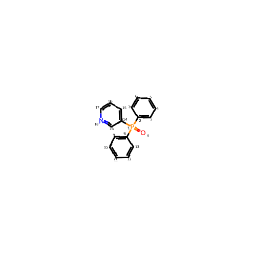 O=P(c1ccccc1)(c1ccccc1)c1cccnc1